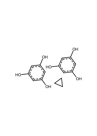 C1CC1.Oc1cc(O)cc(O)c1.Oc1cc(O)cc(O)c1